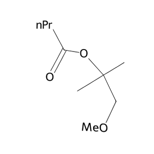 CCCC(=O)OC(C)(C)COC